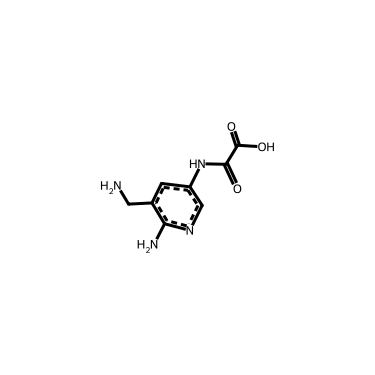 NCc1cc(NC(=O)C(=O)O)cnc1N